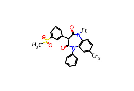 CCN1C(=O)C(c2cccc(S(C)(=O)=O)c2)C(=O)N(c2ccccc2)c2cc(C(F)(F)F)ccc21